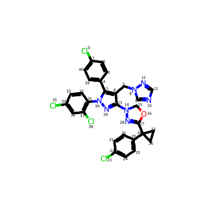 Clc1ccc(-c2c(Cn3cncn3)c(N3COC(C4(c5ccc(Cl)cc5)CC4)=N3)nn2-c2ccc(Cl)cc2Cl)cc1